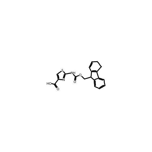 O=C(Nc1nc(C(=O)O)cs1)OCC1C2=C(CCC=C2)c2ccccc21